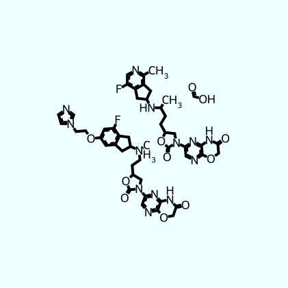 CN(CCC1CN(c2cnc3c(n2)NC(=O)CO3)C(=O)O1)C1Cc2cc(OCCn3ccnc3)cc(F)c2C1.Cc1ncc(F)c2c1CC(NC(C)CCC1CN(c3cnc4c(n3)NC(=O)CO4)C(=O)O1)C2.O=CO